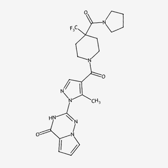 Cc1c(C(=O)N2CCC(C(=O)N3CCCC3)(C(F)(F)F)CC2)cnn1-c1nn2cccc2c(=O)[nH]1